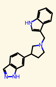 c1ccc2c(CN3CCC(c4ccc5cn[nH]c5c4)C3)c[nH]c2c1